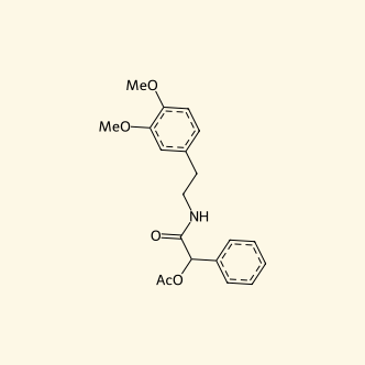 COc1ccc(CCNC(=O)C(OC(C)=O)c2ccccc2)cc1OC